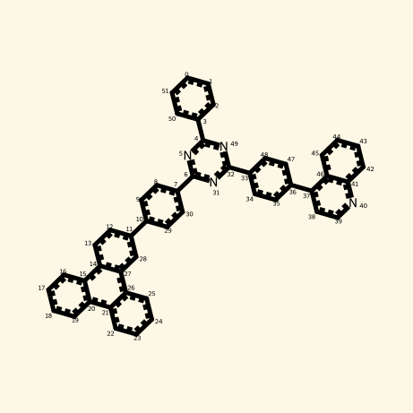 c1ccc(-c2nc(-c3ccc(-c4ccc5c6ccccc6c6ccccc6c5c4)cc3)nc(-c3ccc(-c4ccnc5ccccc45)cc3)n2)cc1